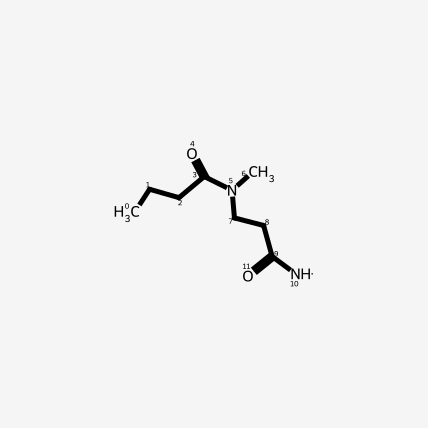 CCCC(=O)N(C)CCC([NH])=O